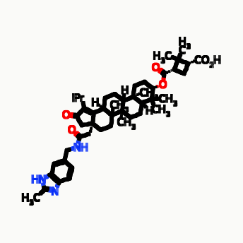 Cc1nc2ccc(CNC(=O)C[C@@]34CC[C@]5(C)[C@H](CC[C@@H]6[C@@]7(C)CC[C@H](OC(=O)[C@H]8C[C@@H](C(=O)O)C8(C)C)C(C)(C)[C@@H]7CC[C@]65C)C3=C(C(C)C)C(=O)C4)cc2[nH]1